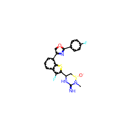 CN1C(=N)NC(c2sc3c(-c4coc(-c5ccc(F)cc5)n4)cccc3c2F)C[S+]1[O-]